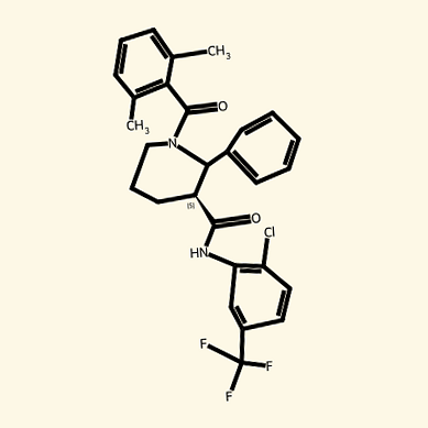 Cc1cccc(C)c1C(=O)N1CCC[C@H](C(=O)Nc2cc(C(F)(F)F)ccc2Cl)C1c1ccccc1